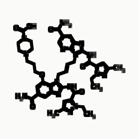 CCn1nc(C)cc1C(=O)Nc1nc2cc(C(N)=O)cnc2n1CC=CCn1c(NC(=O)c2cc(C)nn2CC)nc2cc(C(N)=O)cc(OCCCN3CCN(C(=O)O)CC3)c21